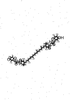 CC1=C(C)C(=O)C(CNC(=O)CSC2CC(C)(C)C(CC/C(C)=C/C=C/C(C)=C/C=C/C=C(C)/C=C/C=C(C)/C=C/C3=C(C)C(=O)C(SCC(=O)NCC4=C(C)C(O)C(C)=C(C)C4=O)CC3(C)C)=C(C)C2=O)=C(C)C1=O